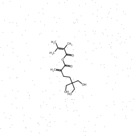 C=C(CCC(CO)(CO)CO)C(=O)OC(=O)C(C)=C(C)C